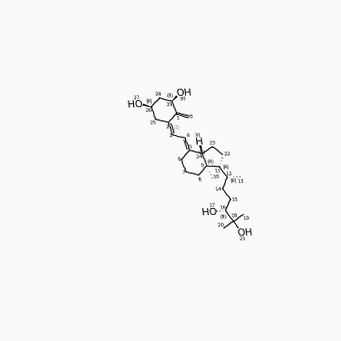 C=C1/C(=C\C=C2CCC[C@]3(C)[C@@H]([C@H](C)CC[C@@H](O)C(C)(C)O)CC[C@@H]23)C[C@@H](O)C[C@H]1O